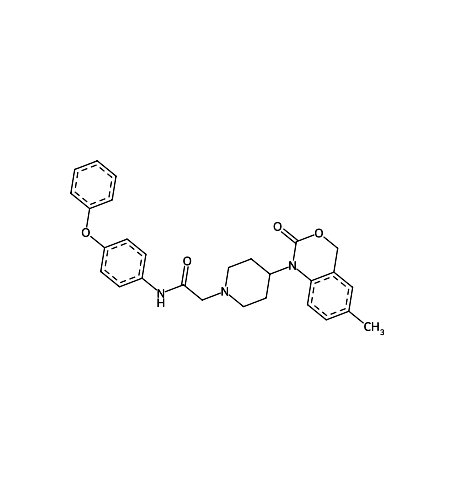 Cc1ccc2c(c1)COC(=O)N2C1CCN(CC(=O)Nc2ccc(Oc3ccccc3)cc2)CC1